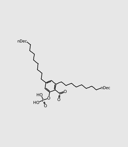 CCCCCCCCCCCCCCCCCCc1cc(CCCCCCCCCCCCCCCCCC)c(I(=O)=O)c(OP(=O)(O)O)c1